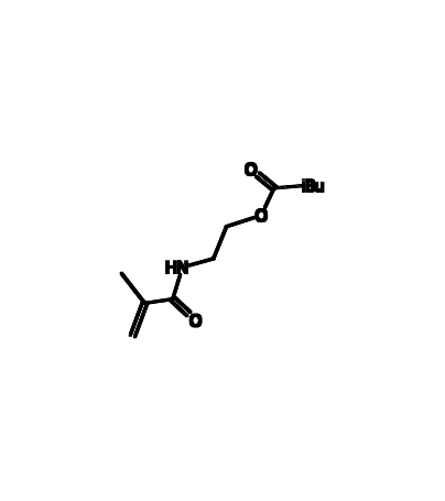 C=C(C)C(=O)NCCOC(=O)C(C)CC